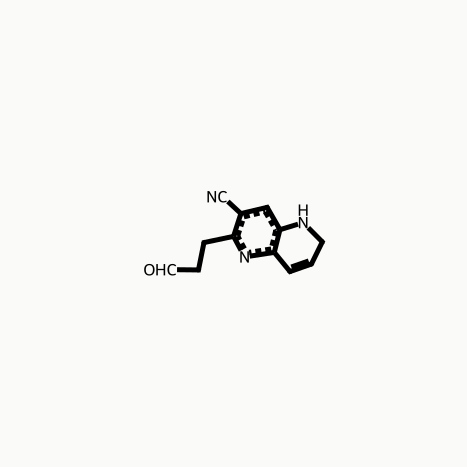 N#Cc1cc2c(nc1CCC=O)C=CCN2